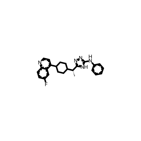 C[C@@H](c1nnc(Nc2ccccc2)[nH]1)C1CCC(c2ccnc3ccc(F)cc23)CC1